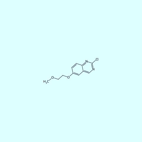 COCCOc1ccc2nc(Cl)ncc2c1